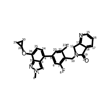 Cn1cc2c(-c3cc(F)c(CN4Cc5ncccc5C4=O)c(F)c3)ccc(OC3CC3)c2n1